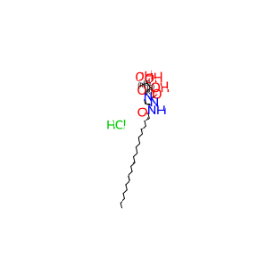 CCCCCCCCCCCCCCCCCCCCCC(=O)Nc1ccn([C@@H]2O[C@H](CO)[C@@H](O)[C@@H]2O)c(=O)n1.Cl